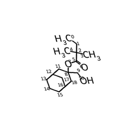 CCC(C)(C)C(=O)OC1(CO)CC2CCCC(C2)C1